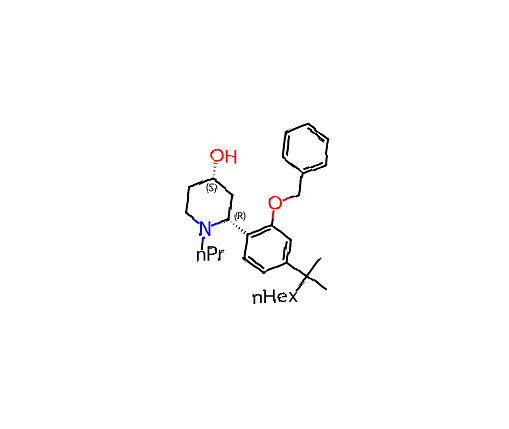 CCCCCCC(C)(C)c1ccc([C@H]2C[C@@H](O)CCN2CCC)c(OCc2ccccc2)c1